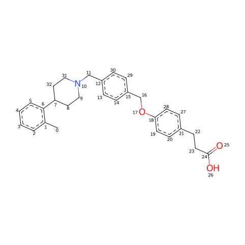 Cc1ccccc1C1CCN(Cc2ccc(COc3ccc(CCC(=O)O)cc3)cc2)CC1